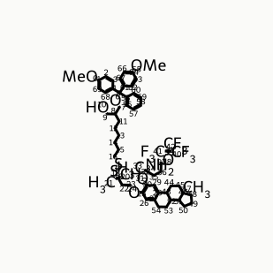 COc1ccc(C(OCC(CO)CCCCCCSSC(C)(C)CCOc2cc3c(cc2OC(C)(N)CCCOC(C(F)(F)F)(C(F)(F)F)C(F)(F)F)C2CCC4(C)CCCC4C2CC3)(c2ccccc2)c2ccc(OC)cc2)cc1